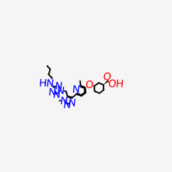 CCCCNc1nnn(Cc2c(-c3ccc(OC4CCC[C@H](C(=O)O)C4)c(C)n3)nnn2C)n1